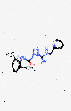 Cc1cccc(C)c1NC(=O)NC(=N)NCc1ccccn1